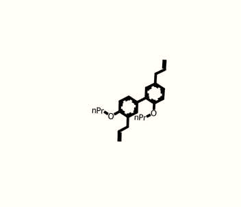 C=CCc1ccc(OCCC)c(-c2ccc(OCCC)c(CC=C)c2)c1